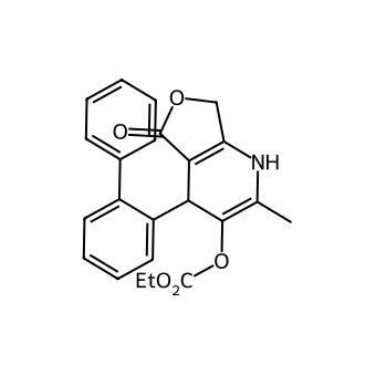 CCOC(=O)OC1=C(C)NC2=C(C(=O)OC2)C1c1ccccc1-c1ccccc1